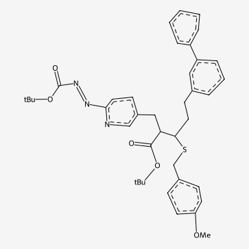 COc1ccc(CSC(CCc2cccc(-c3ccccc3)c2)C(Cc2ccc(N=NC(=O)OC(C)(C)C)nc2)C(=O)OC(C)(C)C)cc1